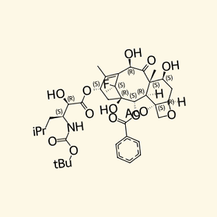 CC(=O)O[C@@]12CO[C@@H]1C[C@H](O)[C@@]1(C)C(=O)[C@H](O)C3=C(C)[C@@H](OC(=O)[C@H](O)[C@H](CC(C)C)NC(=O)OC(C)(C)C)C[C@@](O)([C@@H](OC(=O)c4ccccc4)[C@H]21)[C@@]3(C)F